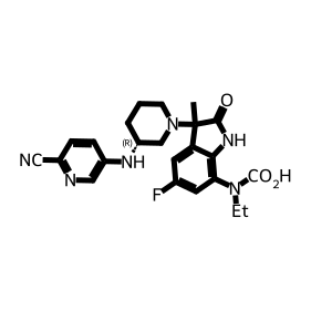 CCN(C(=O)O)c1cc(F)cc2c1NC(=O)C2(C)N1CCC[C@@H](Nc2ccc(C#N)nc2)C1